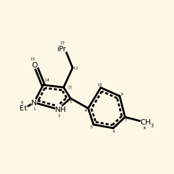 CCn1[nH]c(-c2ccc(C)cc2)c(CC(C)C)c1=O